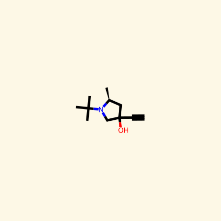 C#CC1(O)C[C@H](C)N(C(C)(C)C)C1